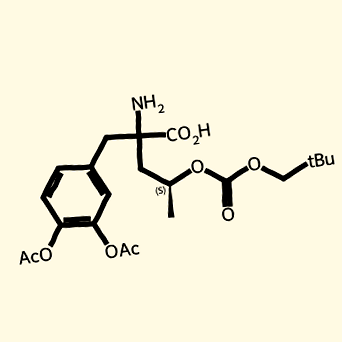 CC(=O)Oc1ccc(CC(N)(C[C@H](C)OC(=O)OCC(C)(C)C)C(=O)O)cc1OC(C)=O